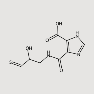 O=C(NCC(O)C=S)c1nc[nH]c1C(=O)O